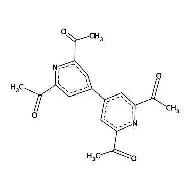 CC(=O)c1cc(-c2cc(C(C)=O)nc(C(C)=O)c2)cc(C(C)=O)n1